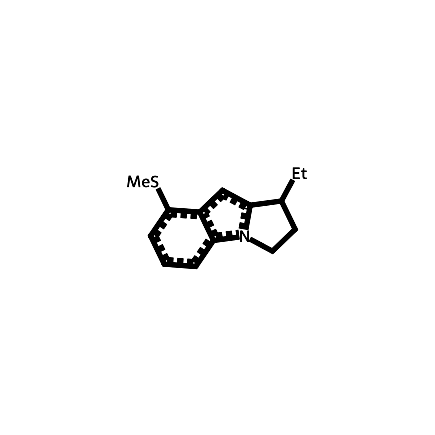 CCC1CCn2c1cc1c(SC)cccc12